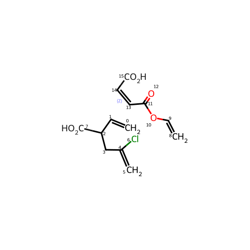 C=CC(CC(=C)Cl)C(=O)O.C=COC(=O)/C=C\C(=O)O